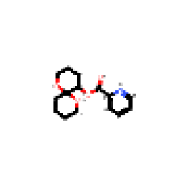 O=C(OC1CCCOC12CCCCO2)c1ccccn1